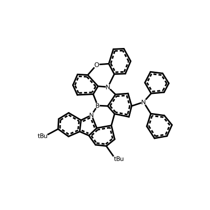 CC(C)(C)c1ccc2c(c1)c1cc(C(C)(C)C)cc3c1n2B1c2cccc4c2N(c2ccccc2O4)c2cc(N(c4ccccc4)c4ccccc4)cc-3c21